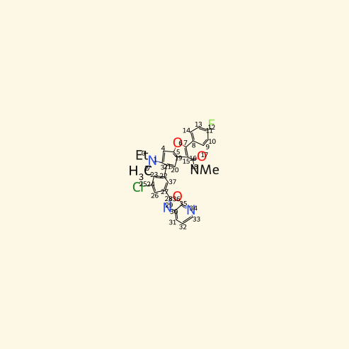 CCN(C)c1cc2oc(-c3ccc(F)cc3)c(C(=O)NC)c2cc1-c1cc(Cl)cc(-c2nc3cccnc3o2)c1